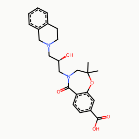 CC1(C)CN(C[C@H](O)CN2CCc3ccccc3C2)C(=O)c2ccc(C(=O)O)cc2O1